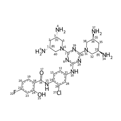 N[C@@H]1C[C@H](N)CN(c2nc(Nc3ccc(NC(=O)c4ccc(F)cc4O)c(Cl)c3)nc(N3C[C@H](N)C[C@H](N)C3)n2)C1